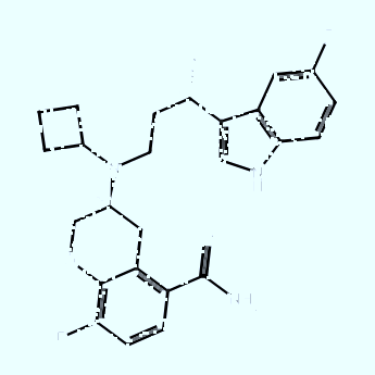 C[C@@H](CCN(C1CCC1)[C@@H]1COc2c(F)ccc(C(N)=O)c2C1)c1c[nH]c2ccc(F)cc12